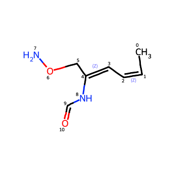 C/C=C\C=C(\CON)NC=O